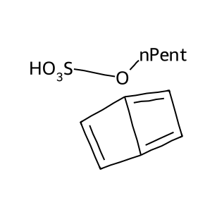 CCCCCOS(=O)(=O)O.c1cc2ccc1-2